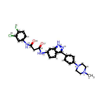 CN1CCN(c2ccc(-c3n[nH]c4cc(NC(=O)CC(=O)Nc5ccc(F)c(Cl)c5)ccc34)cc2)CC1